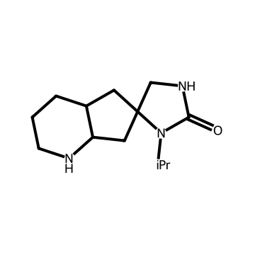 CC(C)N1C(=O)NCC12CC1CCCNC1C2